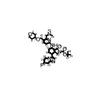 C[C@@H](OC1CCOCC1)c1ccc(Nc2ccc(-c3cnc4cc(F)ccn34)c3c2C(=O)N(C(=O)OC(C)(C)C)C3)nc1CN(C)C